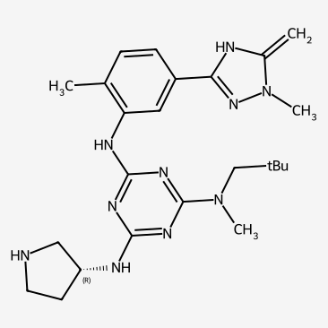 C=C1NC(c2ccc(C)c(Nc3nc(N[C@@H]4CCNC4)nc(N(C)CC(C)(C)C)n3)c2)=NN1C